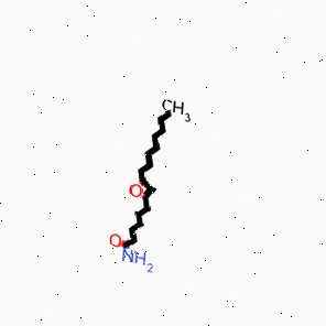 CCCCCCCCCC1C=C(CCCCCC(N)=O)O1